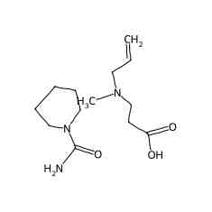 C=CCN(C)CCC(=O)O.NC(=O)N1CCCCC1